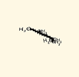 CCCCCCCCCC(N)CCCCCCCCCCC(C)=C(C)C